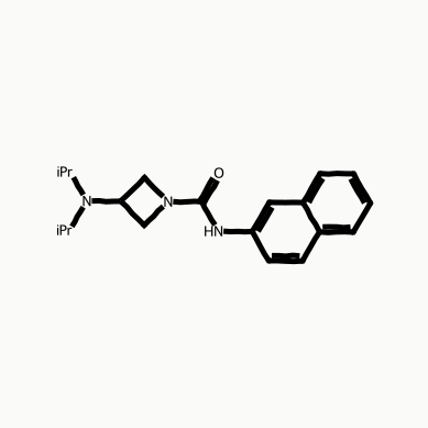 CC(C)N(C(C)C)C1CN(C(=O)Nc2ccc3ccccc3c2)C1